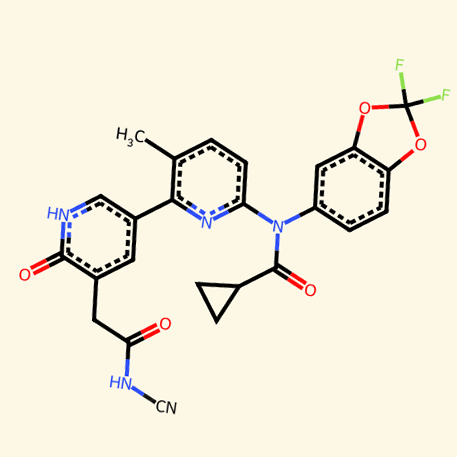 Cc1ccc(N(C(=O)C2CC2)c2ccc3c(c2)OC(F)(F)O3)nc1-c1c[nH]c(=O)c(CC(=O)NC#N)c1